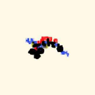 Nc1ccc(CN2CCC(=CC3=C(C(=O)O)N4C(=O)[C@@H](NC(=O)C(=NOC(c5ccccc5)(c5ccccc5)c5ccccc5)c5csc(N)n5)[C@H]4SC3)C2=O)cc1